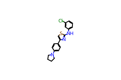 Clc1cccc(Nc2nc(-c3ccc(N4CCCC4)cc3)cs2)c1